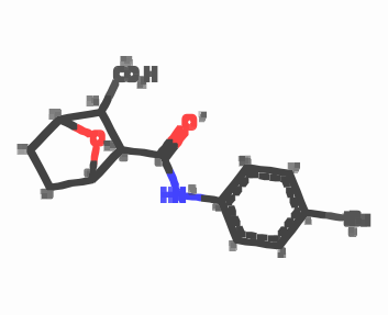 CC(C)(C)c1ccc(NC(=O)C2C3CCC(O3)C2C(=O)O)cc1